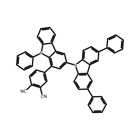 N#Cc1ccc(-c2cc(-n3c4ccc(-c5ccccc5)cc4c4cc(-c5ccccc5)ccc43)cc3c4ccccc4n(-c4ccccc4)c23)cc1C#N